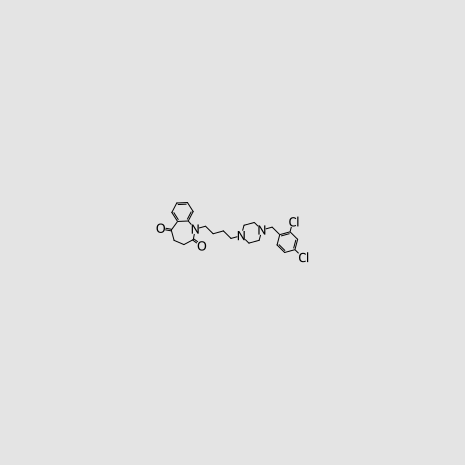 O=C1CCC(=O)N(CCCCN2CCN(Cc3ccc(Cl)cc3Cl)CC2)c2ccccc21